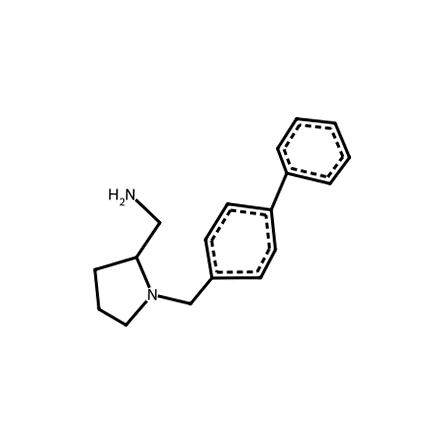 NCC1CCCN1Cc1ccc(-c2ccccc2)cc1